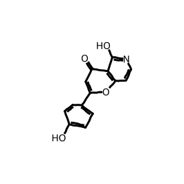 O=c1cc(-c2ccc(O)cc2)oc2ccnc(O)c12